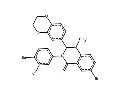 CC(C)(C)c1ccc(N2C(=O)c3cc(Br)ccc3C(C(=O)O)C2c2ccc3c(c2)OCCO3)cc1Cl